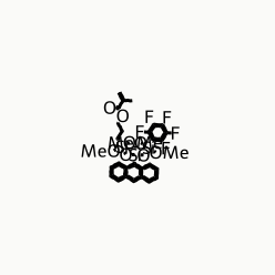 C=C(C)C(=O)OCCC[Si](OC)(OC)O[Si](C)(O[Si](OC)(OC)c1c(F)c(F)c(F)c(F)c1F)c1c2ccccc2cc2ccccc12